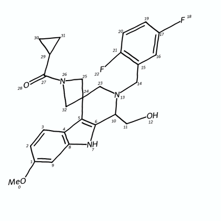 COc1ccc2c3c([nH]c2c1)C(CO)N(Cc1cc(F)ccc1F)CC31CN(C(=O)C2CC2)C1